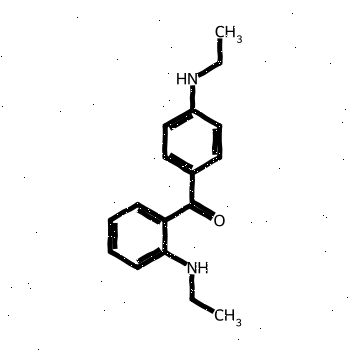 CCNc1ccc(C(=O)c2ccccc2NCC)cc1